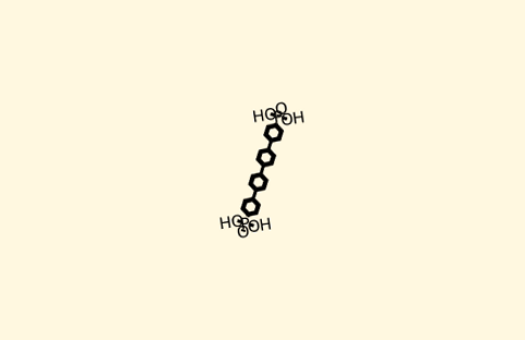 O=P(O)(O)c1ccc(-c2ccc(-c3ccc(-c4ccc(P(=O)(O)O)cc4)cc3)cc2)cc1